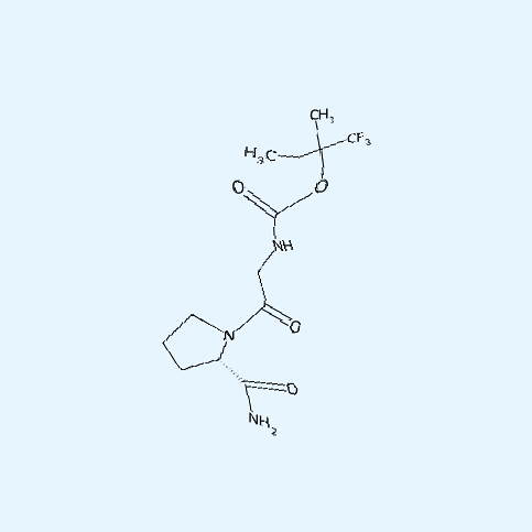 CC(C)(OC(=O)NCC(=O)N1CCC[C@H]1C(N)=O)C(F)(F)F